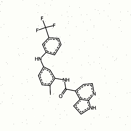 Cc1ccc(Nc2cccc(C(F)(F)F)c2)cc1NC(=O)c1ccnc2[nH]ccc12